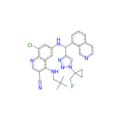 CC(C)(C)CNc1c(C#N)cnc2c(Cl)cc(NC(c3cn(C4(CF)CC4)nn3)c3cccc4ccncc34)cc12